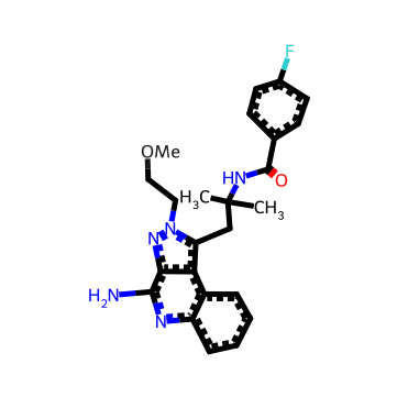 COCCn1nc2c(N)nc3ccccc3c2c1CC(C)(C)NC(=O)c1ccc(F)cc1